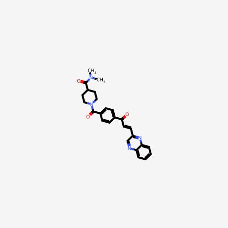 CN(C)C(=O)C1CCN(C(=O)c2ccc(C(=O)/C=C/c3cnc4ccccc4n3)cc2)CC1